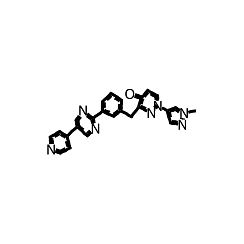 Cn1cc(-n2ccc(=O)c(Cc3cccc(-c4ncc(-c5ccncc5)cn4)c3)n2)cn1